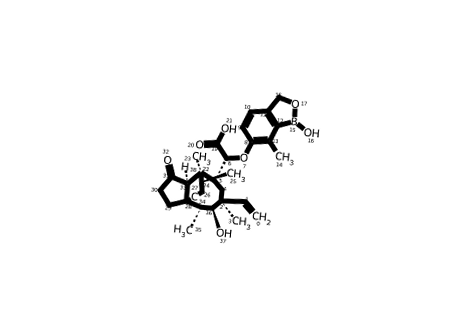 C=C[C@]1(C)C[C@@H](C(Oc2ccc3c(c2C)B(O)OC3)C(=O)O)[C@@]2(C)[C@H](C)CC[C@]3(CCC(=O)[C@H]32)[C@@H](C)[C@@H]1O